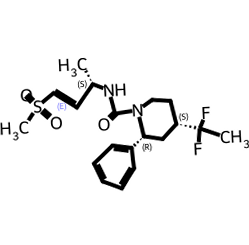 C[C@@H](/C=C/S(C)(=O)=O)NC(=O)N1CC[C@H](C(C)(F)F)C[C@@H]1c1ccccc1